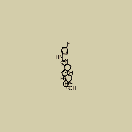 C[C@]12CC[C@H]3[C@@H](CC=C4c5sc(Nc6ccc(F)cc6)nc5CC[C@@]43C)[C@@H]1CC[C@@H]2O